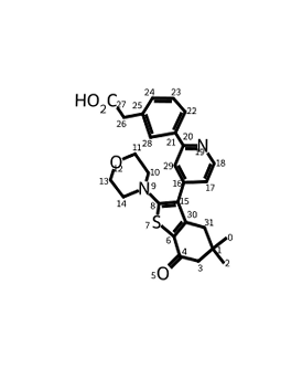 CC1(C)CC(=O)c2sc(N3CCOCC3)c(-c3ccnc(-c4cccc(CC(=O)O)c4)c3)c2C1